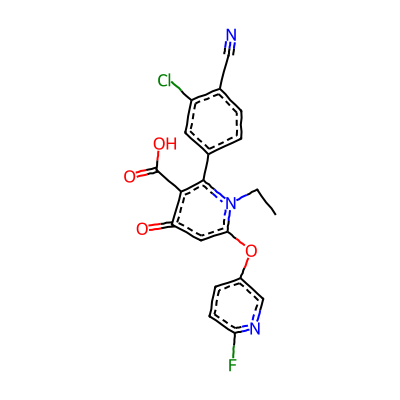 CCn1c(Oc2ccc(F)nc2)cc(=O)c(C(=O)O)c1-c1ccc(C#N)c(Cl)c1